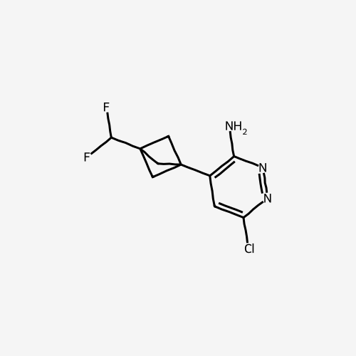 Nc1nnc(Cl)cc1C12CC(C(F)F)(C1)C2